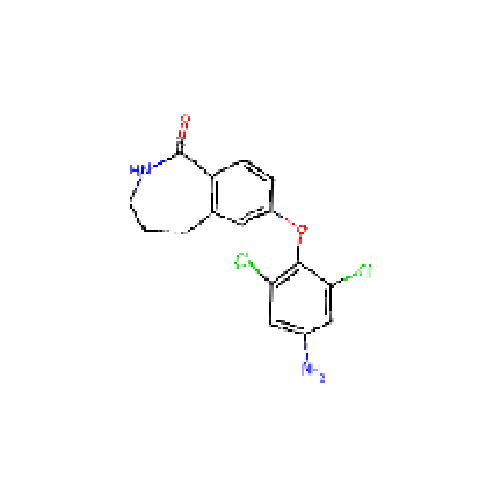 Nc1cc(Cl)c(Oc2ccc3c(c2)CCCNC3=O)c(Cl)c1